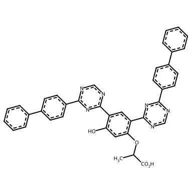 CC(Oc1cc(O)c(-c2ncnc(-c3ccc(-c4ccccc4)cc3)n2)cc1-c1ncnc(-c2ccc(-c3ccccc3)cc2)n1)C(=O)O